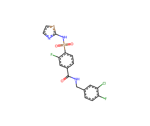 O=C(NCc1ccc(F)c(Cl)c1)c1ccc(S(=O)(=O)Nc2nccs2)c(F)c1